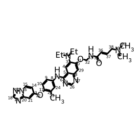 CCN(CC)c1cc2c(Nc3ccc(Oc4ccn5ncnc5c4)c(C)c3)ncnc2cc1OCNC(=O)/C=C/CN(C)C